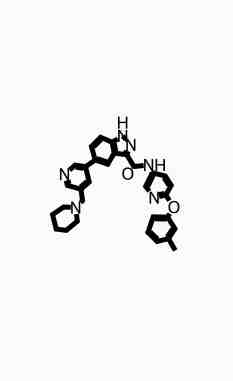 Cc1cccc(Oc2ccc(NC(=O)c3n[nH]c4ccc(-c5cncc(CN6CCCCC6)c5)cc34)cn2)c1